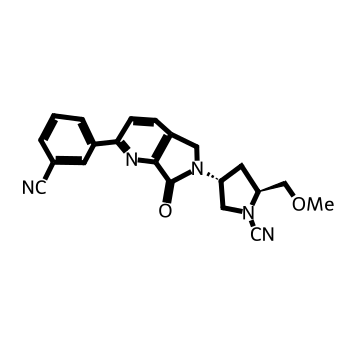 COC[C@@H]1C[C@@H](N2Cc3ccc(-c4cccc(C#N)c4)nc3C2=O)CN1C#N